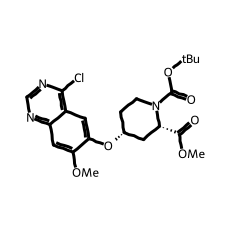 COC(=O)[C@@H]1C[C@H](Oc2cc3c(Cl)ncnc3cc2OC)CCN1C(=O)OC(C)(C)C